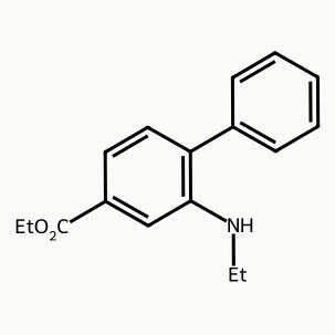 CCNc1cc(C(=O)OCC)ccc1-c1ccccc1